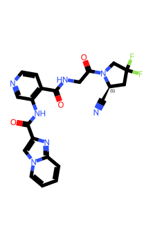 N#C[C@@H]1CC(F)(F)CN1C(=O)CNC(=O)c1ccncc1NC(=O)c1cn2ccccc2n1